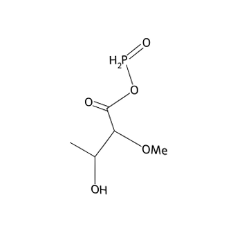 COC(C(=O)O[PH2]=O)C(C)O